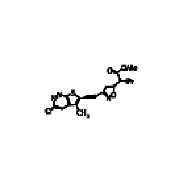 COC(=O)C(c1cc(C#Cc2sc3nnc(Cl)cc3c2C)no1)C(C)C